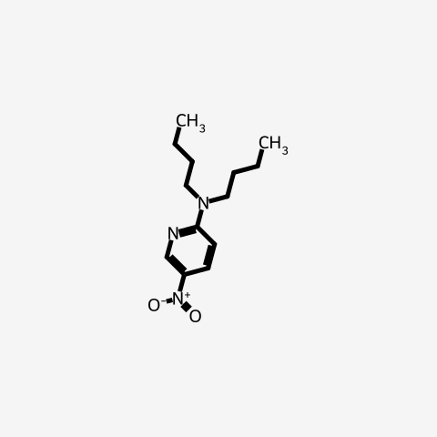 CCCCN(CCCC)c1ccc([N+](=O)[O-])cn1